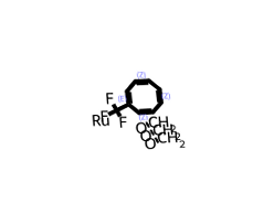 C=O.C=O.C=O.FC(F)(F)C1=C/C=C\C=C/C=C\1.[Ru]